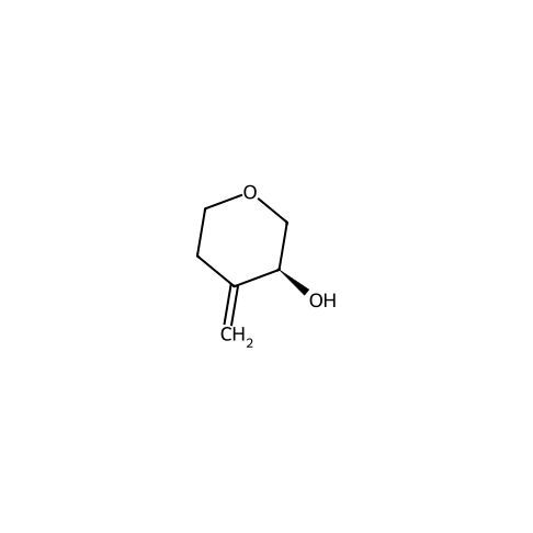 C=C1CCOC[C@H]1O